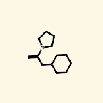 C=C(CC1CCCCC1)N1CCCC1